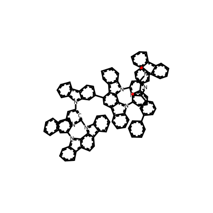 c1ccc(-c2cccc(-c3nc(-n4c5ccccc5c5ccccc54)cc(-n4c5ccccc5c5c(-c6ccc7c8ccccc8n(-c8cc(-c9ccccc9)nc(-n9c%10ccccc%10c%10ccc%11c%12ccccc%12n(-c%12ccccc%12)c%11c%109)c8)c7c6)cc6c7ccccc7n(-c7cccc(-c8ccccc8)c7)c6c54)n3)c2)cc1